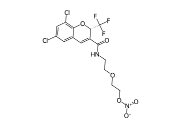 O=C(NCCOCCO[N+](=O)[O-])C1=Cc2cc(Cl)cc(Cl)c2O[C@@H]1C(F)(F)F